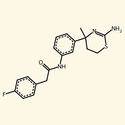 CC1(c2cccc(NC(=O)Cc3ccc(F)cc3)c2)CCSC(N)=N1